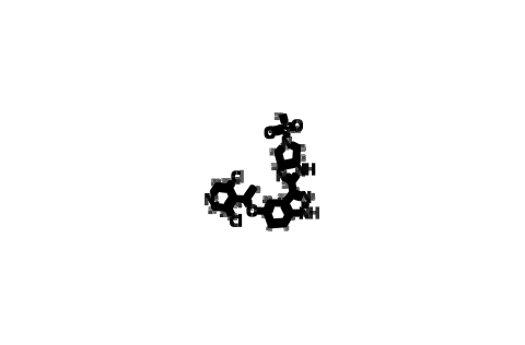 CC(Oc1ccc2[nH]nc(-c3nc4c([nH]3)CN(S(C)(=O)=O)C4)c2c1)c1c(Cl)cncc1Cl